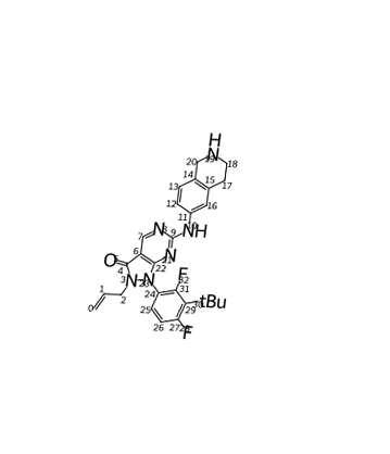 C=CCn1c(=O)c2cnc(Nc3ccc4c(c3)CCNC4)nc2n1-c1ccc(F)c(C(C)(C)C)c1F